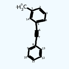 [CH2]c1cccc(C#Cc2ccccc2)c1